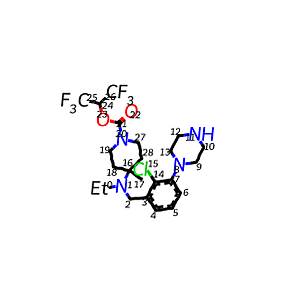 CCN(Cc1cccc(N2CCNCC2)c1Cl)C1(C)CCN(C(=O)OC(C(F)(F)F)C(F)(F)F)CC1